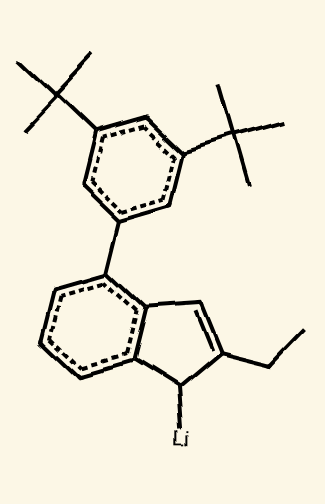 [Li][CH]1C(CC)=Cc2c(-c3cc(C(C)(C)C)cc(C(C)(C)C)c3)cccc21